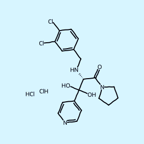 Cl.Cl.O=C([C@@H](NCc1ccc(Cl)c(Cl)c1)C(O)(O)c1ccncc1)N1CCCC1